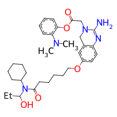 CCC(O)N(C(=O)CCCCCOc1ccc2c(c1)CN(CC(=O)Oc1ccccc1N(C)C)C(N)=N2)C1CCCCC1